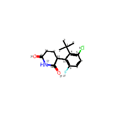 CC(C)(C)c1c(Cl)ccc(F)c1C1CCC(=O)NC1=O